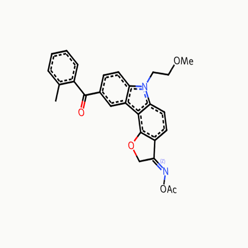 COCCn1c2ccc(C(=O)c3ccccc3C)cc2c2c3c(ccc21)/C(=N/OC(C)=O)CO3